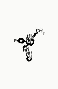 CCCCNc1cccc2c(-c3ccnc(NCc4ccccn4)n3)c(-c3ccc(F)cc3)nn12